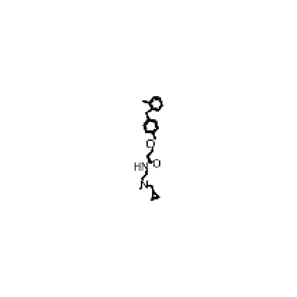 Cc1ccccc1Cc1ccc(COCCC(=O)NCCN(C)CC2CC2)cc1